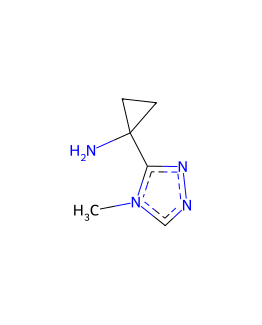 Cn1cnnc1C1(N)CC1